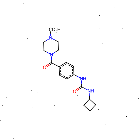 O=C(Nc1ccc(C(=O)N2CCN(C(=O)O)CC2)cc1)NC1CCC1